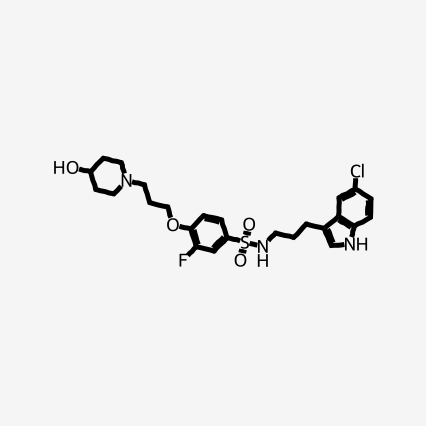 O=S(=O)(NCCCc1c[nH]c2ccc(Cl)cc12)c1ccc(OCCCN2CCC(O)CC2)c(F)c1